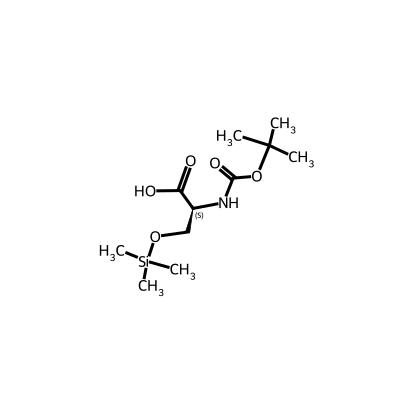 CC(C)(C)OC(=O)N[C@@H](CO[Si](C)(C)C)C(=O)O